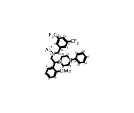 COc1ccccc1C(CN(Cc1cc(C(F)(F)F)cc(C(F)(F)F)c1)C(C)=O)N1CCN(c2ccccc2)CC1